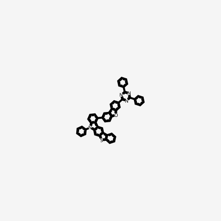 c1ccc(-c2nc(-c3ccccc3)nc(-c3ccc4c(c3)oc3ccc(-c5cccc6c5c5cc7c(cc5n6-c5ccccc5)sc5ccccc57)cc34)n2)cc1